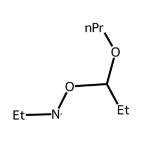 CCCOC(CC)O[N]CC